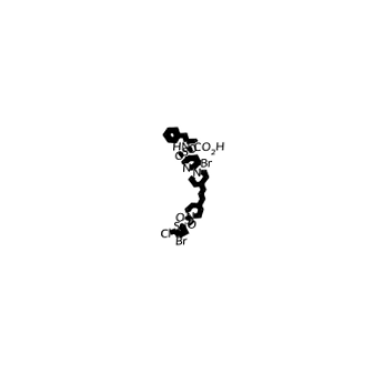 O=C(O)CC(Cc1ccccc1)NS(=O)(=O)c1cnc(N2CCC(CCCC3CCN(S(=O)(=O)c4cc(Br)c(Cl)s4)CC3)CC2)c(Br)c1